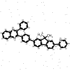 CC1(C)c2cc(-c3ccc(-c4nc5ccccc5nc4-c4ccccc4)cc3)ccc2-c2ccc(-c3ccccn3)cc21